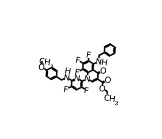 CCOC(=O)c1cn(-c2nc(NCc3ccc(OC)cc3)c(F)cc2F)c2c(F)c(F)c(F)c(NCc3ccccc3)c2c1=O